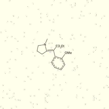 CCOC(=O)/C(=C1/CCCN1C)c1ccccc1OC